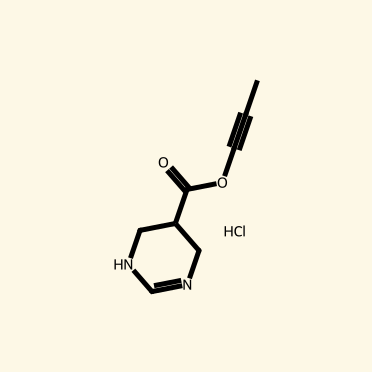 CC#COC(=O)C1CN=CNC1.Cl